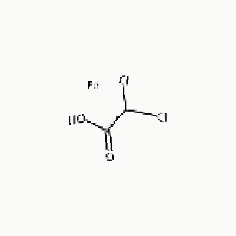 O=C(O)C(Cl)Cl.[Fe]